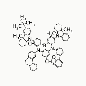 Cc1cc2c3c(c1)N(c1cccc4c1oc1ccccc14)c1cc(N4c5ccccc5C5(C)CCCCC45C)ccc1B3c1ccc(N3c4ccc(C(C)(C)C)cc4C4(C)CCCCC34C)cc1N2c1ccc2c(c1)-c1ccccc1CC2